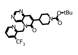 CC(C)(C)OC(=O)N1CCC(c2cc3ncncc3n(Cc3ncccc3C(F)(F)F)c2=O)CC1